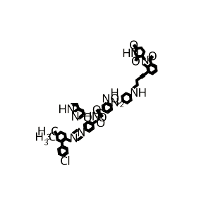 CC1(C)CCC(CN2CCN(c3ccc(C(=O)NS(=O)(=O)c4ccc(NC[C@H]5CC[C@@H](NCCCC#Cc6cccc7c6CN(C6CCC(=O)NC6=O)C7=O)CC5)c([N+](=O)[O-])c4)c(Oc4cnc5[nH]ccc5c4)c3)CC2)=C(c2ccc(Cl)cc2)C1